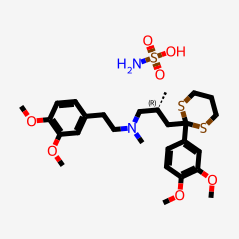 COc1ccc(CCN(C)C[C@H](C)CC2(c3ccc(OC)c(OC)c3)SCCCS2)cc1OC.NS(=O)(=O)O